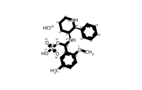 COc1ccc(C)cc1C(N[C@H]1CCCN[C@H]1c1ccccc1)OS(=O)(=O)O.Cl